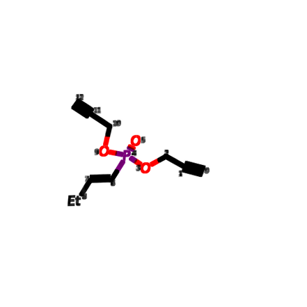 C#CCOP(=O)(C=CCC)OCC#C